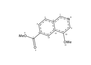 COC(=O)c1ccc2cncc(OC)c2c1